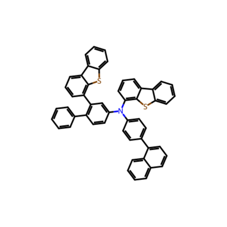 c1ccc(-c2ccc(N(c3ccc(-c4cccc5ccccc45)cc3)c3cccc4c3sc3ccccc34)cc2-c2cccc3c2sc2ccccc23)cc1